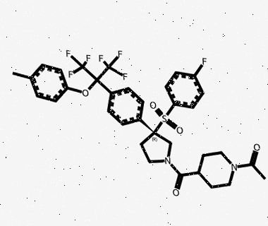 CC(=O)N1CCC(C(=O)N2CC[C@](c3ccc(C(Oc4ccc(C)cc4)(C(F)(F)F)C(F)(F)F)cc3)(S(=O)(=O)c3ccc(F)cc3)C2)CC1